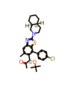 CC(=O)[C@@H](OC(C)(C)C)c1c(C)cc2nc(N3CC[C@H]4CCCC[C@@H]4C3)sc2c1-c1ccc(Cl)cc1